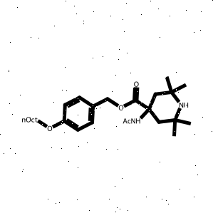 CCCCCCCCOc1ccc(COC(=O)C2(NC(C)=O)CC(C)(C)NC(C)(C)C2)cc1